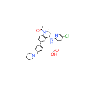 CC(=O)N1c2ccc(-c3ccc(CN4CCCCC4)cc3)cc2[C@@H](Nc2ccc(Cl)cn2)C[C@H]1C.O=CO